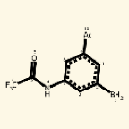 Bc1cc(NC(=O)C(F)(F)F)cc(C(C)=O)c1